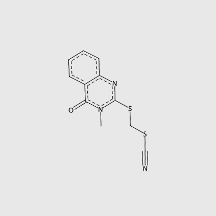 Cn1c(SCSC#N)nc2ccccc2c1=O